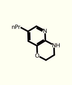 CCCc1cnc2c(c1)OCCN2